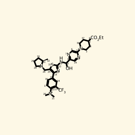 CCOC(=O)C1CCN(c2cnc(C(O)Nc3nc(-c4ccc(N(C)C)c(C(F)(F)F)c4)c(CN4CCC[C@H]4C)s3)cn2)CC1